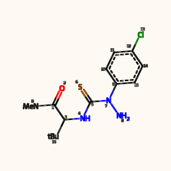 CNC(=O)C(NC(=S)N(N)c1ccc(Cl)cc1)C(C)(C)C